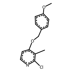 COc1ccc(COc2ccnc(Cl)c2C)cc1